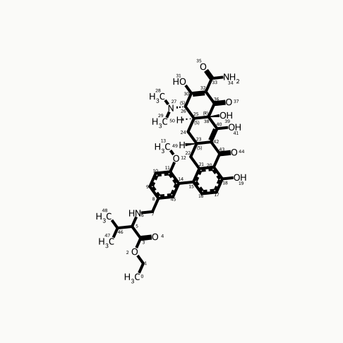 CCOC(=O)C(NCc1ccc(OC)c(-c2ccc(O)c3c2C[C@@H]2C[C@H]4[C@H](N(C)C)C(O)=C(C(N)=O)C(=O)[C@]4(O)C(O)=C2C3=O)c1)C(C)C